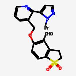 CC(C)n1nccc1-c1ncccc1COc1ccc2c(c1C=O)CCS2(=O)=O